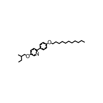 CCCCCCCCCCCOc1ccc(-c2ccc(OCC(C)CC)cn2)cc1